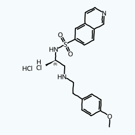 COc1ccc(CCNC[C@@H](C)NS(=O)(=O)c2ccc3cnccc3c2)cc1.Cl.Cl